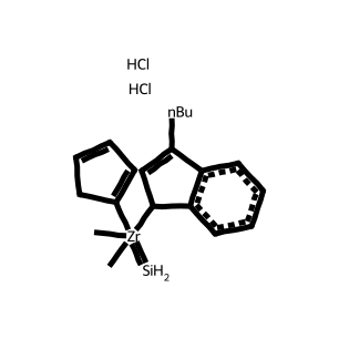 CCCCC1=C[CH]([Zr]([CH3])([CH3])(=[SiH2])[C]2=CC=CC2)c2ccccc21.Cl.Cl